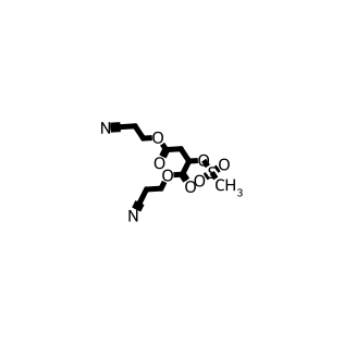 CS(=O)(=O)OC(CC(=O)OCCC#N)C(=O)OCCC#N